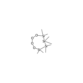 C[Si]1(C)OOOO[Si](C)(C)[Si](C)(C)[Si]1(C)C